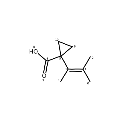 CC(C)=C(C)C1(C(=O)O)CC1